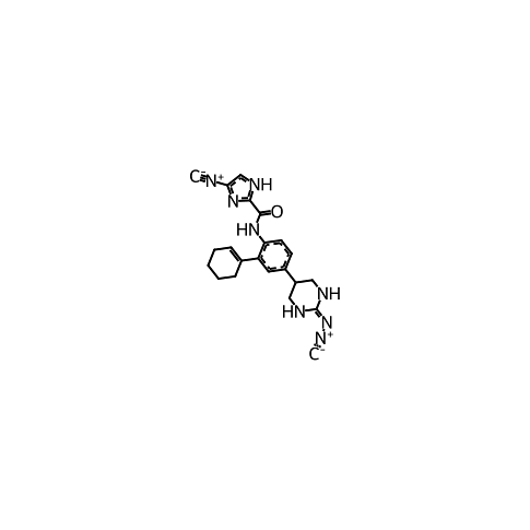 [C-]#[N+]N=C1NCC(c2ccc(NC(=O)c3nc([N+]#[C-])c[nH]3)c(C3=CCCCC3)c2)CN1